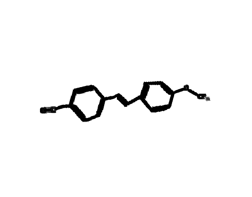 O=Cc1ccc(C=Cc2ccc(OC(F)(F)F)cc2)cc1